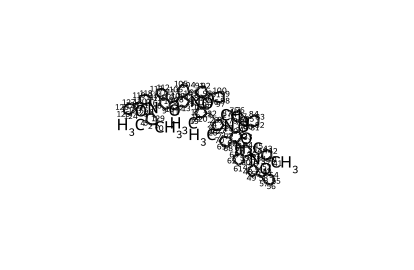 Cc1cc(C)cc(N(c2cc3oc4cc(N(c5cc(C)cc(Cc6cc(C)cc(N(c7cc8oc9cc(N(c%10cc(C)ccc%10C)c%10cccc%11c%10oc%10ccccc%10%11)c%10ccccc%10c9c8c8ccccc78)c7cccc8c7oc7ccccc78)c6C)c5)c5cccc6c5oc5ccccc56)c5ccccc5c4c3c3ccccc23)c2cccc3c2oc2ccccc23)c1